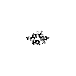 COc1nc(N2C[C@@H](F)C[C@@H]2CN(C)C)c(N)cc1Nc1ncc(C(=O)OC(C)C)c(N2CC(C)(C)c3nc(C)ccc32)n1